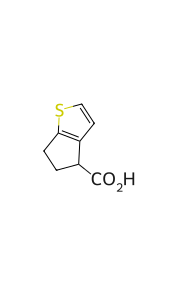 O=C(O)C1CCc2sccc21